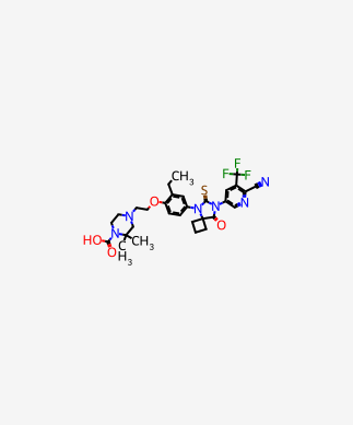 CCc1cc(N2C(=S)N(c3cnc(C#N)c(C(F)(F)F)c3)C(=O)C23CCC3)ccc1OCCN1CCN(C(=O)O)C(C)(C)C1